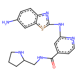 Nc1ccc2nc(Nc3cc(C(=O)NCC4CCCN4)ccn3)sc2c1